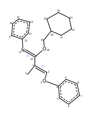 CC(=C\Oc1ccccc1)/C(=N/c1ccccc1)OCC1CCCCC1